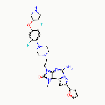 Cn1c(=O)n(CCN2CCN(c3ccc(O[C@H]4CNC[C@@H]4F)cc3F)CC2)c2nc(N)n3nc(-c4ccco4)cc3c21